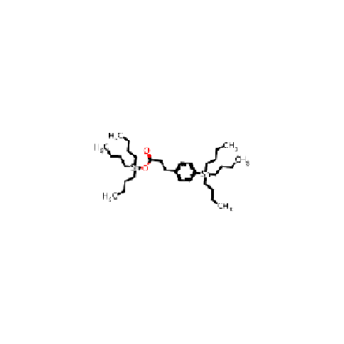 CCC[CH2][Sn]([CH2]CCC)([CH2]CCC)[O]C(=O)CCc1cc[c]([Sn]([CH2]CCC)([CH2]CCC)[CH2]CCC)cc1